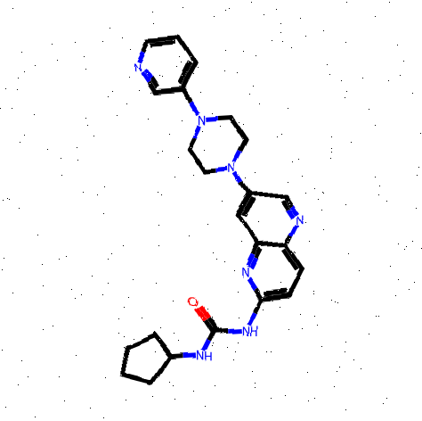 O=C(Nc1ccc2ncc(N3CCN(c4cccnc4)CC3)cc2n1)NC1CCCC1